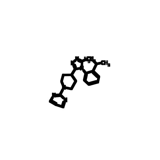 Cc1nnc(C2CCN(c3ncccn3)CC2)n1-c1ccccc1C(C)C